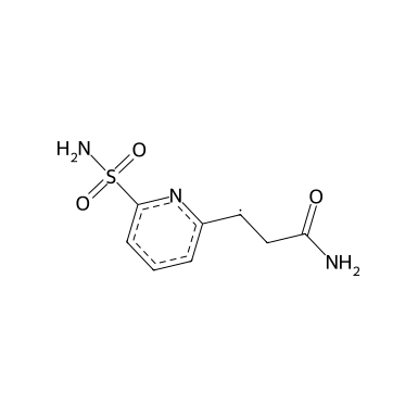 NC(=O)C[CH]c1cccc(S(N)(=O)=O)n1